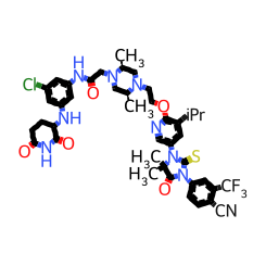 CC(C)c1cc(N2C(=S)N(c3ccc(C#N)c(C(F)(F)F)c3)C(=O)C2(C)C)cnc1OCCN1C[C@@H](C)N(CC(=O)Nc2cc(Cl)cc(NC3CCC(=O)NC3=O)c2)C[C@H]1C